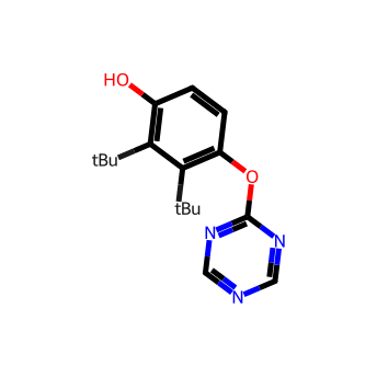 CC(C)(C)c1c(O)ccc(Oc2ncncn2)c1C(C)(C)C